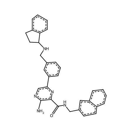 Nc1ncc(-c2cccc(CNC3CCc4ccccc43)c2)nc1C(=O)NCc1ccc2ccccc2c1